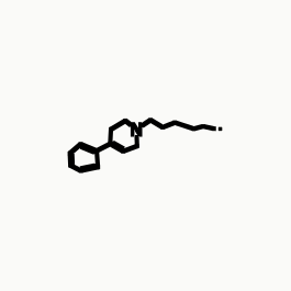 [CH2]CCCCCN1CC=C(c2ccccc2)CC1